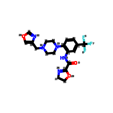 O=C(Nc1cc(C(F)(F)F)ccc1N1CCN(Cc2cocn2)CC1)C1=NCCO1